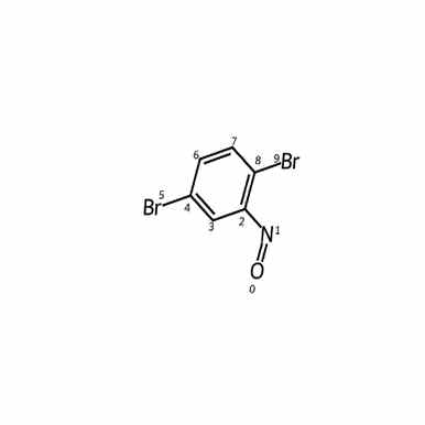 O=Nc1cc(Br)ccc1Br